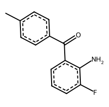 Cc1ccc(C(=O)c2cccc(F)c2N)cc1